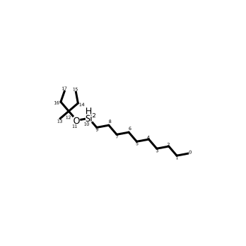 CCCCCCCCCC[SiH2]OC(C)(CC)CC